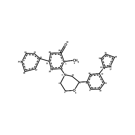 Cn1c(N2CCOC(c3cccc(-n4cccn4)c3)C2)nc(-c2ccncc2)cc1=O